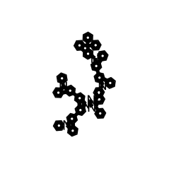 c1ccc(-c2nc(-n3c4ccc(-c5ccc6c(c5)c5ccccc5n6-c5ccccc5)cc4c4cc(-c5ccc6c(c5)c5ccccc5n6-c5ccccc5)ccc43)nc3c2ccc2cc(-n4c5ccccc5c5cc(-c6ccc7c(c6)c6ccccc6n7-c6ccc7c(c6)C(c6ccccc6)(c6ccccc6)c6ccccc6-7)ccc54)ccc23)cc1